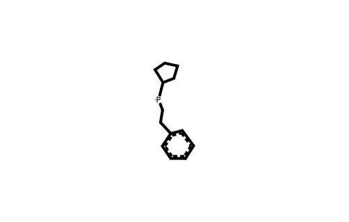 c1ccc(CC[P]C2CCCC2)cc1